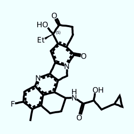 CC[C@@]1(O)C(=O)CCc2c1cc1n(c2=O)Cc2c-1nc1cc(F)c(C)c3c1c2C(NC(=O)C(O)CC1CC1)CC3